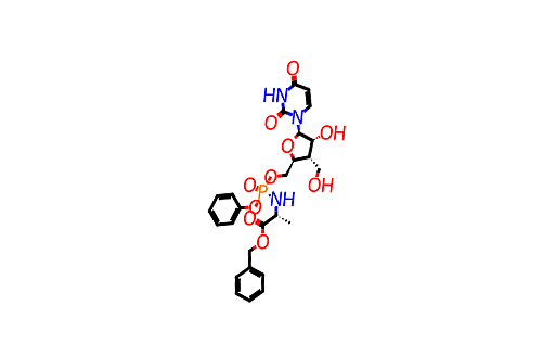 C[C@@H](N[P@](=O)(OC[C@H]1O[C@@H](n2ccc(=O)[nH]c2=O)[C@H](O)[C@@H]1CO)Oc1ccccc1)C(=O)OCc1ccccc1